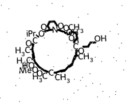 CO[C@H]1C(=O)[C@H](C)C[C@H](C)/C=C/C=C/C=C(\C)C(OCCCCO)C[C@@H]2CC[C@@H](C)[C@@](O)(O2)C(=O)C(=O)N2CCCCC2C(=O)O[C@H](C(C)C)CC(=O)[C@H](C)/C=C(\C)[C@H]1O